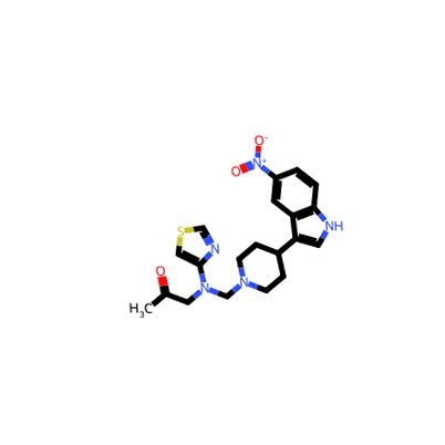 CC(=O)CN(CN1CCC(c2c[nH]c3ccc([N+](=O)[O-])cc23)CC1)c1cscn1